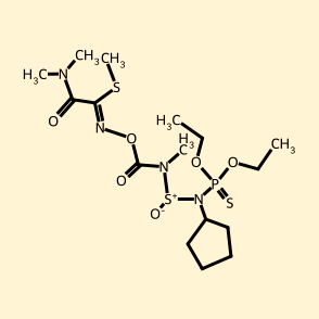 CCOP(=S)(OCC)N(C1CCCC1)[S+]([O-])N(C)C(=O)ON=C(SC)C(=O)N(C)C